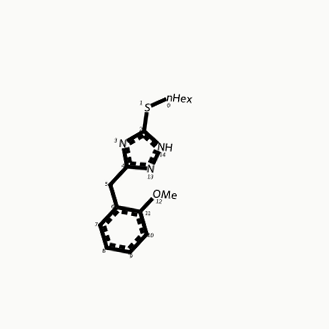 CCCCCCSc1nc(Cc2ccccc2OC)n[nH]1